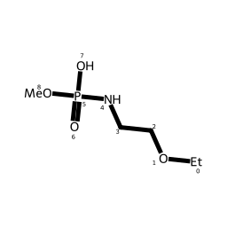 CCOCCNP(=O)(O)OC